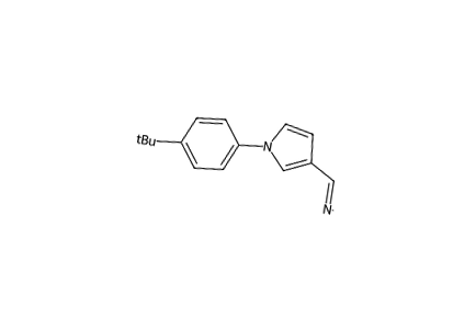 CC(C)(C)c1ccc(-n2ccc(C=[N])c2)cc1